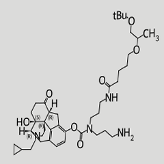 CC(COC(C)(C)C)OCCCCC(=O)NCCCN(CCCN)C(=O)Oc1ccc2c3c1C[C@H]1C(=O)CC[C@@]4(O)[C@@H](C2)N(CC2CC2)CC[C@]314